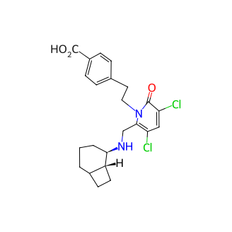 O=C(O)c1ccc(CCn2c(CN[C@@H]3CCCC4CC[C@H]43)c(Cl)cc(Cl)c2=O)cc1